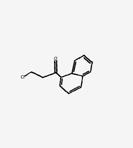 O=C(CCCl)c1cccc2ccccc12